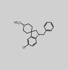 O=C(O)N1CCC2(CC1)CN(Cc1ccccc1)c1ccc(Cl)cc12